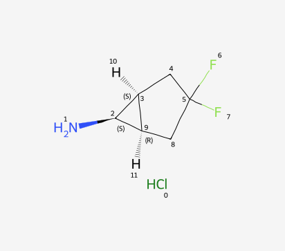 Cl.N[C@H]1[C@H]2CC(F)(F)C[C@@H]12